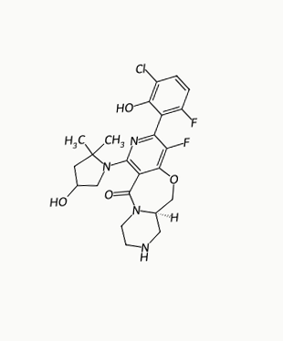 CC1(C)CC(O)CN1c1nc(-c2c(F)ccc(Cl)c2O)c(F)c2c1C(=O)N1CCNC[C@@H]1CO2